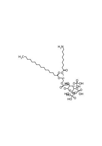 CCCCCCCCCCCCCCCC(=O)O[C@H](COC(=O)CCCCCCCCN)COP(=O)(O)OC1C(O)[C@H](OP(=O)(O)O)C(OP(=O)(O)O)[C@H](OP(=O)(O)O)[C@@H]1O